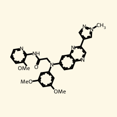 COc1cc(OC)cc(N(CC(=O)Nc2ncccc2OC)c2ccc3ncc(-c4cnn(C)c4)nc3c2)c1